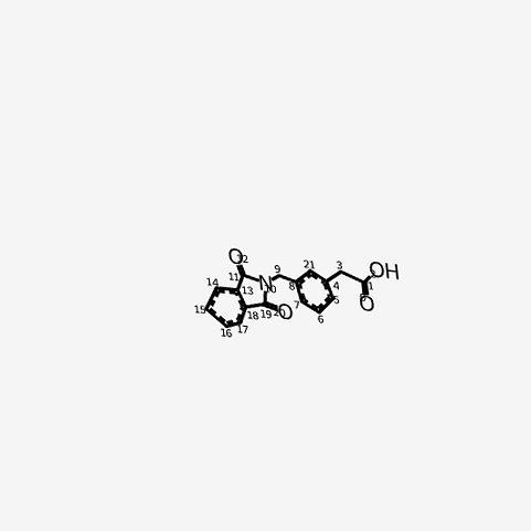 O=C(O)Cc1cccc(CN2C(=O)c3ccccc3C2=O)c1